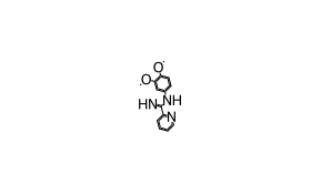 COc1ccc(NC(=N)c2ccccn2)cc1OC